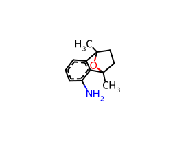 CC12CCC(C)(O1)c1c(N)cccc12